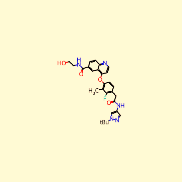 Cc1c(Oc2ccnc3ccc(C(=O)NCCO)cc23)ccc(CC(=O)Nc2cnn(C(C)(C)C)c2)c1F